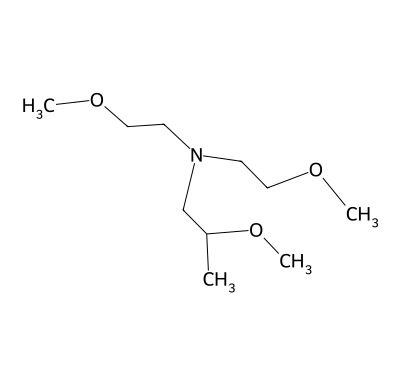 COCCN(CCOC)CC(C)OC